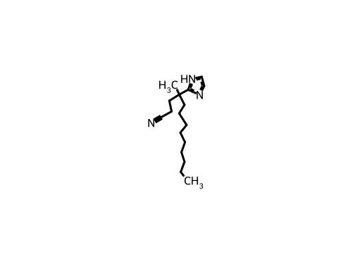 CCCCCCCCCC(C)(CCC#N)c1ncc[nH]1